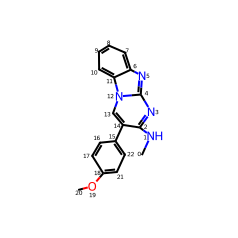 CNc1nc2nc3ccccc3n2cc1-c1ccc(OC)cc1